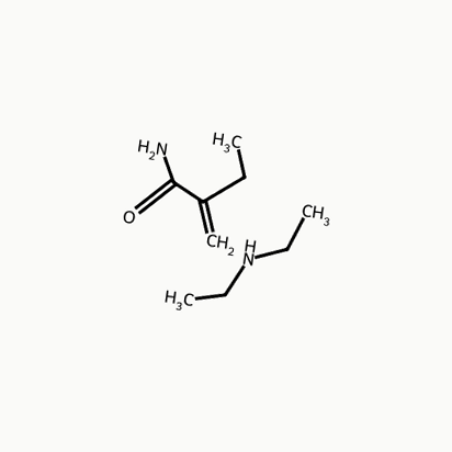 C=C(CC)C(N)=O.CCNCC